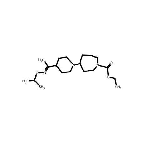 CCOC(=O)N1CCCC(N2CCC(C(C)=NOC(C)C)CC2)CC1